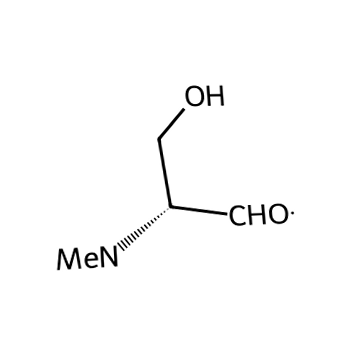 CN[C@@H]([C]=O)CO